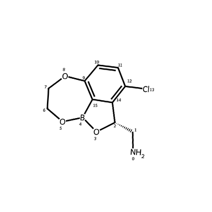 NC[C@@H]1OB2OCCOc3ccc(Cl)c1c32